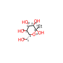 CC[C@@]1(O)O[C@H](CO)[C@@H](O)[C@H](O)[C@H]1O